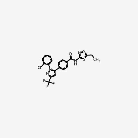 CCc1nnc(NC(=O)c2ccc(-c3cc(C(F)(F)F)nn3-c3ccccc3Cl)cc2)s1